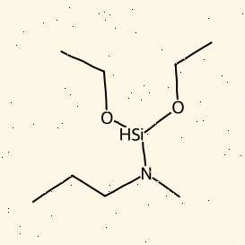 CCCN(C)[SiH](OCC)OCC